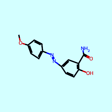 COc1ccc(/N=N/c2ccc(O)c(C(N)=O)c2)cc1